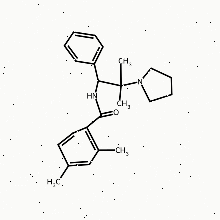 Cc1ccc(C(=O)NC(c2ccccc2)C(C)(C)N2CCCC2)c(C)c1